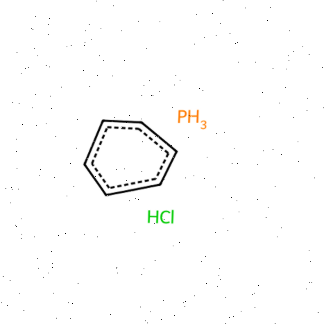 Cl.P.c1ccccc1